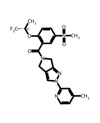 Cc1ccnc(-n2cc3c(n2)CN(C(=O)c2cc(S(C)(=O)=O)ccc2O[C@@H](C)C(F)(F)F)C3)c1